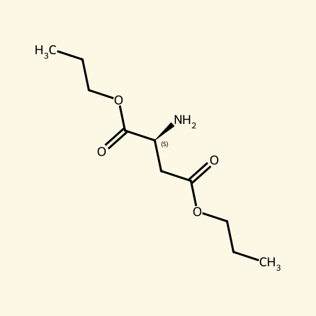 CCCOC(=O)C[C@H](N)C(=O)OCCC